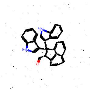 O=CC1c2cccc3cccc(c23)C1(c1c[nH]c2ccccc12)c1c[nH]c2ccccc12